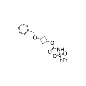 CCCS(=O)(=O)NC(=O)OC1CC(OCc2ccccc2)C1